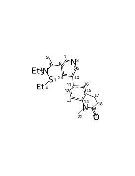 CCSN(CC)C(C)c1cncc(-c2ccc3c(c2)CCC(=O)N3C)c1